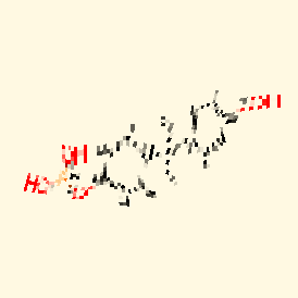 CC(C)(c1ccc(O)cc1)c1ccc(OP(O)O)cc1